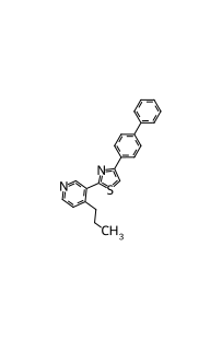 CCCc1ccncc1-c1nc(-c2ccc(-c3ccccc3)cc2)cs1